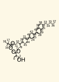 C=C(CO)C(=O)OCCC(CCOC(=O)C(C)(C)C)C1CC=C(c2ccc(-c3ccc4cc(CCCCC)ccc4c3)cc2)CC1